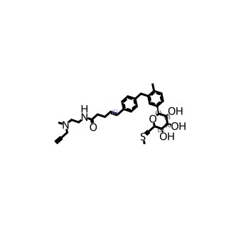 C#CCN(C)CCNC(=O)CC/C=C/c1ccc(Cc2cc([C@@H]3OC(C#SC)[C@@H](O)[C@H](O)[C@H]3O)ccc2C)cc1